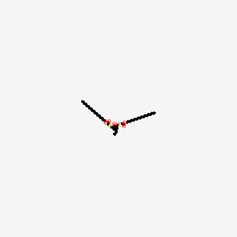 C#CCc1cc(CSCC(=O)OCCCCCCCCCCCCCCCCCC)c(O)c(CSCC(=O)OCCCCCCCCCCCCCCCCCC)c1